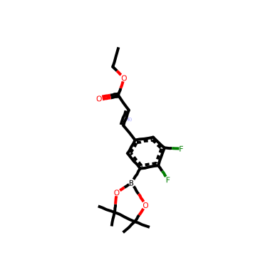 CCOC(=O)/C=C/c1cc(F)c(F)c(B2OC(C)(C)C(C)(C)O2)c1